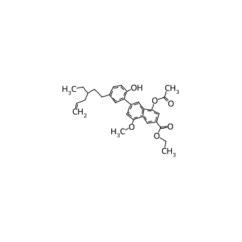 C=CCC(CC)CCc1ccc(O)c(-c2cc(OC)c3cc(C(=O)OCC)cc(OC(C)=O)c3c2)c1